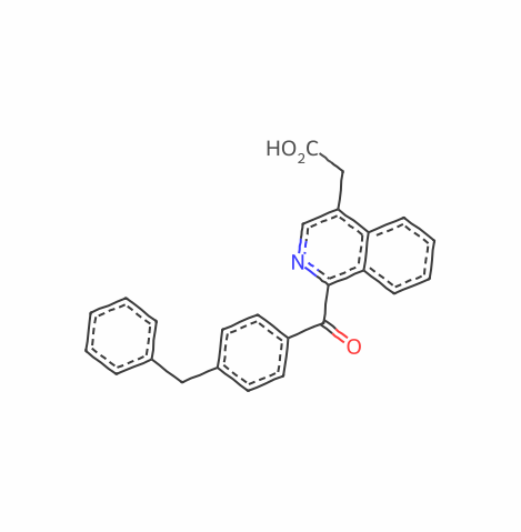 O=C(O)Cc1cnc(C(=O)c2ccc(Cc3ccccc3)cc2)c2ccccc12